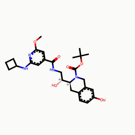 COc1cc(C(=O)NC[C@@H](O)[C@@H]2Cc3ccc(O)cc3CN2C(=O)OC(C)(C)C)cc(NC2CCC2)n1